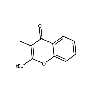 Cc1c(C(C)(C)C)oc2ccccc2c1=O